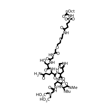 CCCCCCCCC(=O)NS(=O)(=O)CCCC(=O)NCCOCCOCC(=O)NCC(=O)NC(CO)C(=O)NC(CCC(N)=O)C(=O)NC(Cc1c[nH]cn1)C(=O)NC(CNC(=O)CN(CC(=O)O)CC(=O)O)C(=O)NC(CCCC)C(=O)NC